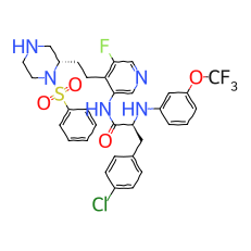 O=C(Nc1cncc(F)c1CC[C@H]1CNCCN1S(=O)(=O)c1ccccc1)[C@H](Cc1ccc(Cl)cc1)Nc1cccc(OC(F)(F)F)c1